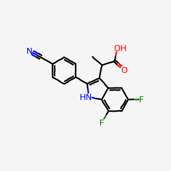 CC(C(=O)O)c1c(-c2ccc(C#N)cc2)[nH]c2c(F)cc(F)cc12